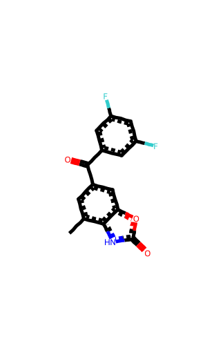 Cc1cc(C(=O)c2cc(F)cc(F)c2)cc2oc(=O)[nH]c12